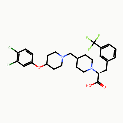 O=C(O)[C@H](Cc1cccc(C(F)(F)F)c1)N1CCC(CN2CCC(Oc3ccc(Cl)c(Cl)c3)CC2)CC1